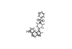 O=S(=O)(c1cccnc1)N1CCC(n2cnc3cnc4[nH]ccc4c32)CC1